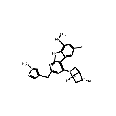 CNc1cc(F)cc2c1[nH]c1nc(Cc3cnn(C)c3)nc(N3CC4[C@H](N)C[C@@H]43)c12